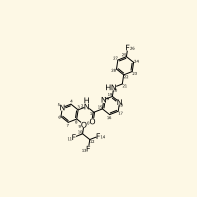 O=C(Nc1cnccc1OC(F)C(F)F)c1ccnc(NCc2ccc(F)cc2)n1